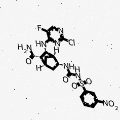 NC(=O)[C@H]1[C@H]2C[C@@H]([C@H]1Nc1nc(Cl)ncc1F)[C@H](NC(=O)NS(=O)(=O)c1cccc([N+](=O)[O-])c1)C2